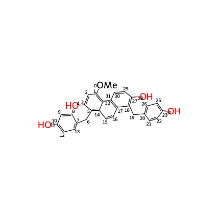 COc1cc(O)c(Cc2ccc(O)cc2)c2ccc3c(Cc4ccc(O)cc4)c(O)ccc3c12